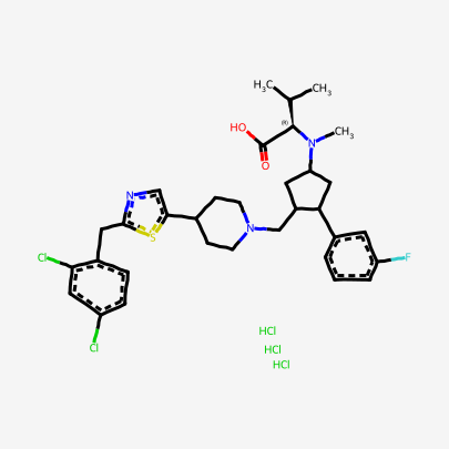 CC(C)[C@H](C(=O)O)N(C)C1CC(CN2CCC(c3cnc(Cc4ccc(Cl)cc4Cl)s3)CC2)C(c2cccc(F)c2)C1.Cl.Cl.Cl